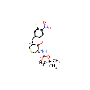 CC(C)(C)OC(=O)N[C@H]1CSC[C@@H](Cc2ccc([N+](=O)[O-])c(F)c2)C1=O